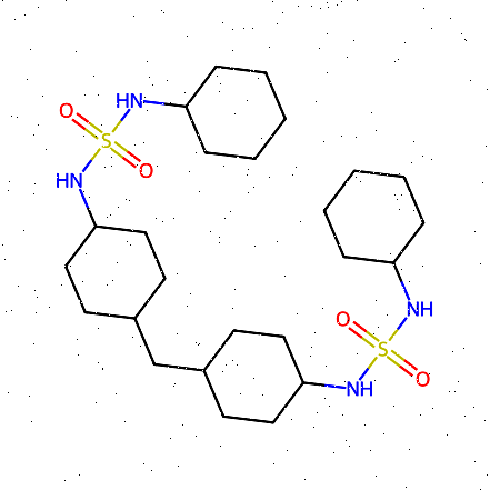 O=S(=O)(NC1CCCCC1)NC1CCC(CC2CCC(NS(=O)(=O)NC3CCCCC3)CC2)CC1